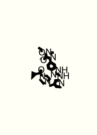 CCOc1ncnc(-c2ccc3nc(Nc4cc(CN5CCN(C(=O)C6CC6)CC5)ccn4)[nH]c3c2)c1OC